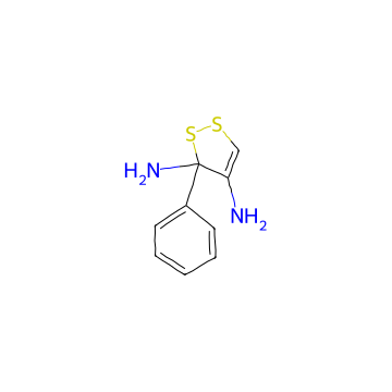 NC1=CSSC1(N)c1ccccc1